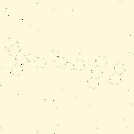 c1ccc2c(-c3c4ccccc4c(-c4ccc5c(c4)oc4cc(-c6ccc7c(c6)sc6c8ccccc8c8ccccc8c76)ccc45)c4ccccc34)cccc2c1